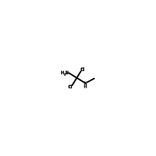 CNC([SiH3])(Cl)Cl